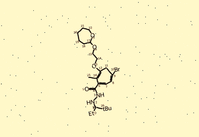 CC[C@@H](NNC(=O)C1=CC=C(Br)CC(OCCOC2CCCCCO2)=C1C)C(C)(C)C